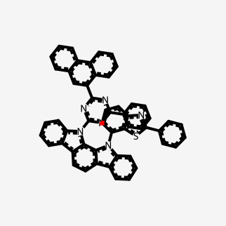 c1ccc(-c2nc(-c3cc4ccccc4c4ccccc34)nc(-n3c4ccccc4c4ccc5c6ccccc6n(-c6cccc7nc(-c8ccccc8)sc67)c5c43)n2)cc1